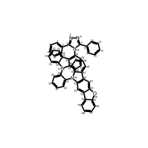 c1ccc(-c2nnc(-c3ccccc3)n2-c2cccc3c2c2ccccc2n3-c2ccccc2-n2c3ccccc3c3cc4oc5ccccc5c4cc32)cc1